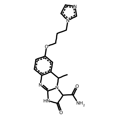 CC1c2cc(OCCCn3ccnc3)ccc2N=C2NC(=O)C(C(N)=O)N21